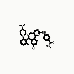 CNC(=O)c1ccc(Nc2ncc3c(n2)-c2ccc(Cl)cc2C(c2c(F)cccc2N2CCC(N(C)C)CC2)=NC3)cc1